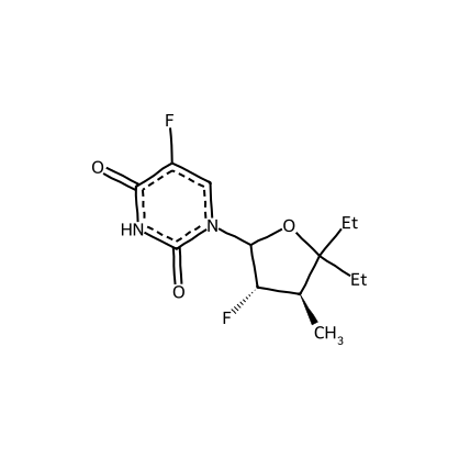 CCC1(CC)OC(n2cc(F)c(=O)[nH]c2=O)[C@@H](F)[C@@H]1C